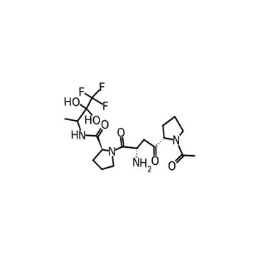 CC(=O)N1CCC[C@H]1C(=O)C[C@H](N)C(=O)N1CCC[C@H]1C(=O)NC(C)C(O)(O)C(F)(F)F